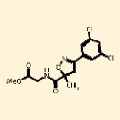 COC(=O)CNC(=O)C1(C)CC(c2cc(Cl)cc(Cl)c2)=NO1